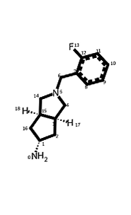 N[C@H]1C[C@@H]2CN(Cc3ccccc3F)C[C@@H]2C1